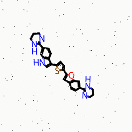 c1cc2c(-c3ccc(-c4cc5ccc(C6=NCCCN6)cc5o4)s3)c[nH]c2cc1C1=NCCCN1